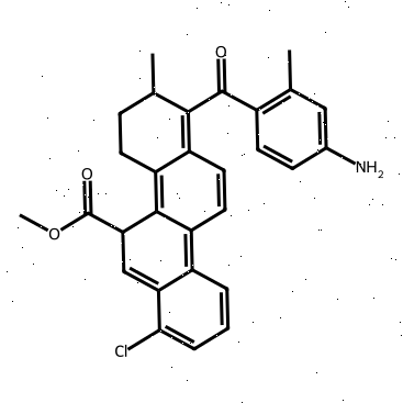 COC(=O)C1C=c2c(Cl)cccc2=c2ccc3c(c21)CCC(C)C=3C(=O)c1ccc(N)cc1C